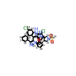 CC(c1ccc(Cl)cc1)n1cnc(-c2ccccc2)c1-c1c(C(=O)NC2CN(S(C)(=O)=O)C[C@H]2c2ccccc2)[nH]c2cc(Cl)ccc12